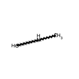 CCCCCCCCCCCCNCCCCCCCCCCCCCCO